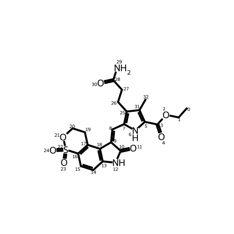 CCOC(=O)c1[nH]c(/C=C2\C(=O)Nc3ccc4c(c32)CCOS4(=O)=O)c(CCC(N)=O)c1C